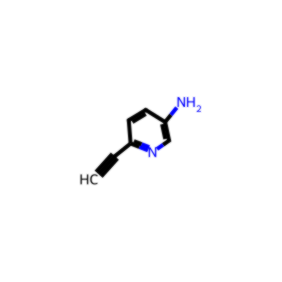 C#Cc1ccc(N)cn1